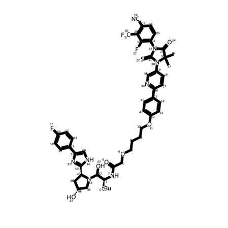 CC(C)(C)[C@H](NC(=O)COCCCCOc1ccc(-c2ccc(N3C(=S)N(c4ccc(C#N)c(C(F)(F)F)c4F)C(=O)C3(C)C)cn2)cc1)C(O)N1C[C@H](O)C[C@H]1c1nc(-c2ccc(F)cc2)c[nH]1